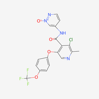 Cc1ncc(Oc2ccc(OC(F)(F)F)cc2)c(C(=O)Nc2ccn[n+]([O-])c2)c1Cl